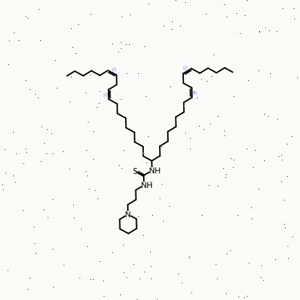 CCCCC/C=C\C/C=C\CCCCCCCCC(CCCCCCCC/C=C\C/C=C\CCCCC)NC(=S)NCCCN1CCCCC1